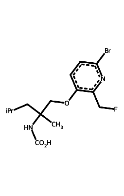 CC(C)CC(C)(COc1ccc(Br)nc1CF)NC(=O)O